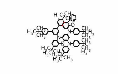 CC(C)(C)c1ccc(-c2cc(-c3ccc(C(C)(C)C)cc3)cc(N3c4ccc(C(C)(C)C)cc4B4c5cc(C(C)(C)C)ccc5N(c5ccc(C(C)(C)C)cc5)c5cc(N(c6ccc(C(C)(C)C)cc6)c6cccc7c6oc6ccccc67)cc3c54)c2)cc1